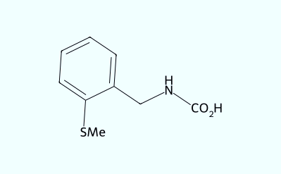 CSc1ccccc1CNC(=O)O